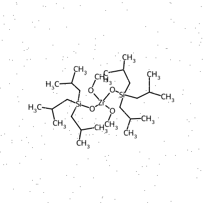 C[O][Zr]([O]C)([O][Si](CC(C)C)(CC(C)C)CC(C)C)[O][Si](CC(C)C)(CC(C)C)CC(C)C